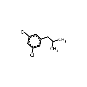 CC(C)Cc1cc(Cl)cc(Cl)c1